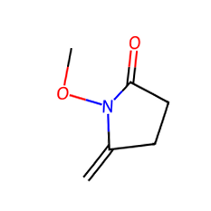 C=C1CCC(=O)N1OC